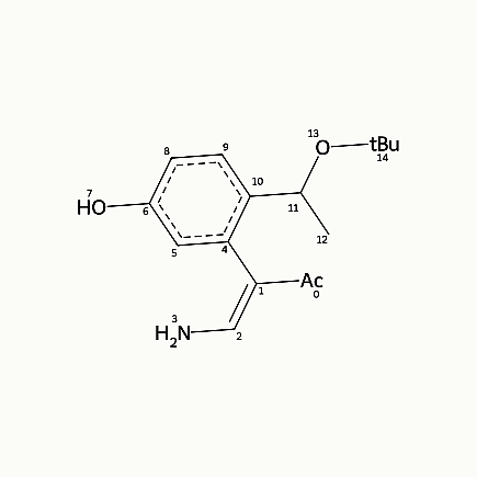 CC(=O)/C(=C/N)c1cc(O)ccc1C(C)OC(C)(C)C